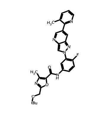 Cc1cccnc1-c1cnc2cn(-c3cc(NC(=O)c4oc(COC(C)(C)C)nc4C)ccc3F)nc2c1